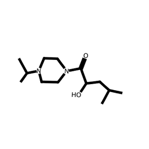 CC(C)CC(O)C(=O)N1CCN(C(C)C)CC1